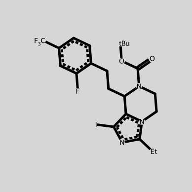 CCc1nc(I)c2n1CCN(C(=O)OC(C)(C)C)C2CCc1ccc(C(F)(F)F)cc1F